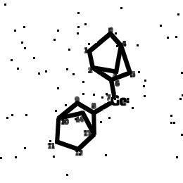 C1CC2CC1C[CH]2[Ge][CH]1CC2CCC1C2